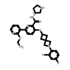 CCOc1ncccc1-c1ccc(OC2CC3(C2)CN(c2ccc(F)cc2Cl)C3)c(C(=O)N[C@@H]2CCNC2)n1